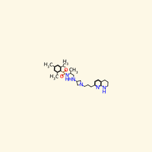 Cc1cc(C)c(S(=O)(=O)NC(C)CNC2CN(CCCc3ccc4c(n3)NCCC4)C2)c(C)c1